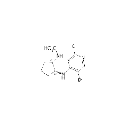 O=C(O)N[C@H]1CCC[C@@H]1Nc1nc(Cl)ncc1Br